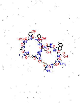 C[C@H](N)C(=O)N[C@H]1CSCC(=O)N2CCN3C[N@](C2)NN(C(=O)[C@H](C)NC(=O)[C@@H](C)NC(=O)[C@H](Cc2cccc4ccccc24)NC(=O)[C@H](CCC(=O)O)NC(=O)[C@H](CC(N)=O)NC(=O)[C@@H](C)NC1=O)[C@@H](CCC(=O)O)C(=O)N[C@@H](CC(=O)O)C(=O)N[C@@H](Cc1ccccc1)C(=O)N[C@@H](Cc1ccc(O)cc1)C(=O)NC(CC(=O)O)C(=O)N[C@@H](C(C)(C)C)C(=O)N[C@H](C(N)=O)CSCC3=O